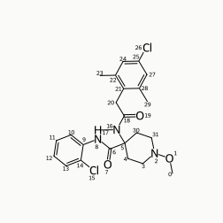 CON1CCC(C(=O)Nc2ccccc2Cl)(N(C)C(=O)Cc2c(C)cc(Cl)cc2C)CC1